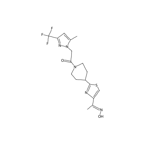 CC(=NO)c1csc(C2CCN(C(=O)Cn3nc(C(F)(F)F)cc3C)CC2)n1